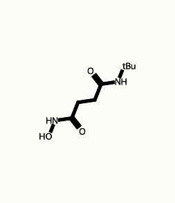 CC(C)(C)NC(=O)CCC(=O)NO